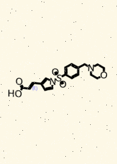 O=C(O)/C=C/c1ccn(S(=O)(=O)c2ccc(CN3CCOCC3)cc2)c1